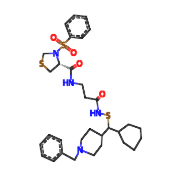 O=C(CCNC(=O)[C@@H]1CSCN1S(=O)(=O)c1ccccc1)NSC(C1CCCCC1)C1CCN(Cc2ccccc2)CC1